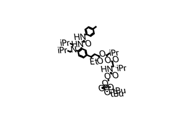 CCC(CC(=O)OC(OC(=O)[C@@H](NC(=O)OCOP(=O)(OC(C)(C)C)OC(C)(C)C)C(C)C)C(C)C)c1ccc(N(CC(C)C)CC(C)C)c(NC(=O)Nc2ccc(C)cc2)c1